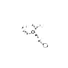 CC(C)C(C)NC(=O)CN(C)C(=O)OCc1ccc(OC(CO)OC(C(=O)O)C(C)O)c(NC(=O)CCNC(=O)OCC2C3CCC#CCCC32)c1